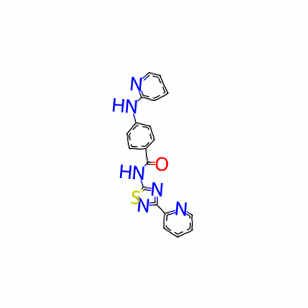 O=C(Nc1nc(-c2ccccn2)ns1)c1ccc(Nc2ccccn2)cc1